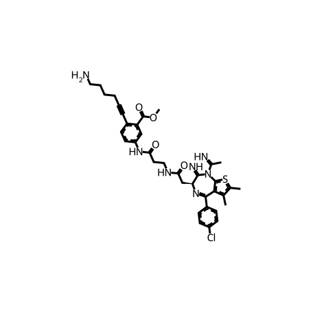 COC(=O)c1cc(NC(=O)CCNC(=O)C[C@@H]2N=C(c3ccc(Cl)cc3)c3c(sc(C)c3C)N(C(C)=N)C2=N)ccc1C#CCCCCN